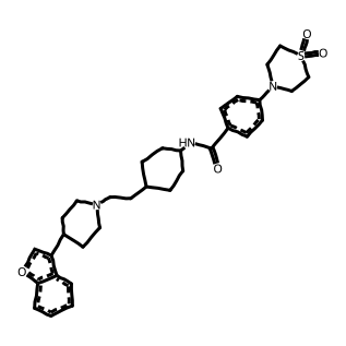 O=C(NC1CCC(CCN2CCC(c3coc4ccccc34)CC2)CC1)c1ccc(N2CCS(=O)(=O)CC2)cc1